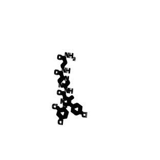 Cc1c(C(=O)Nc2cnc(C(=O)NCCC(N)=O)cn2)nn(-c2ccc(Cl)cc2Cl)c1-c1ccc(Cl)cc1